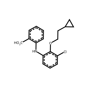 O=C(O)c1ccccc1Nc1cccc(Cl)c1OCCC1CC1